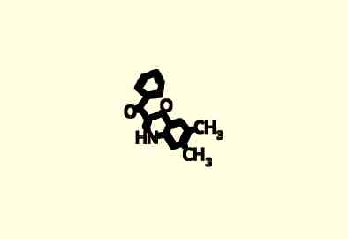 Cc1cc2[nH]cc(C(=O)c3ccccc3)c(=O)c2cc1C